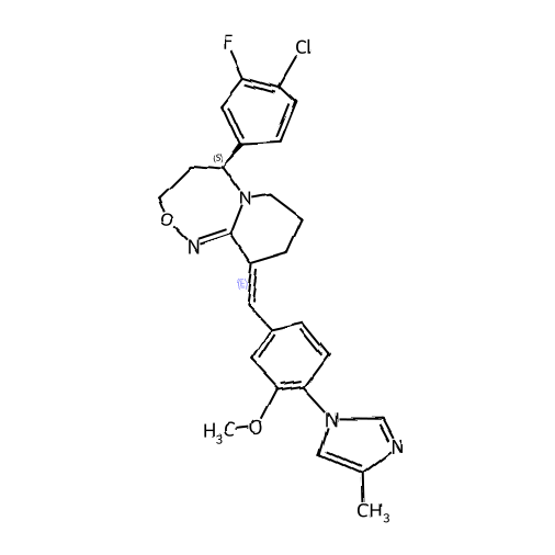 COc1cc(/C=C2\CCCN3C2=NOCC[C@H]3c2ccc(Cl)c(F)c2)ccc1-n1cnc(C)c1